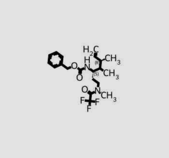 C=C[C@@H](C)C(C)[C@H](CCN(C)C(=O)C(F)(F)F)NC(=O)OCc1ccccc1